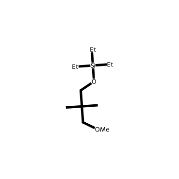 CC[Si](CC)(CC)OCC(C)(C)COC